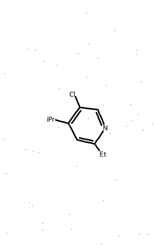 CCc1cc(C(C)C)c(Cl)cn1